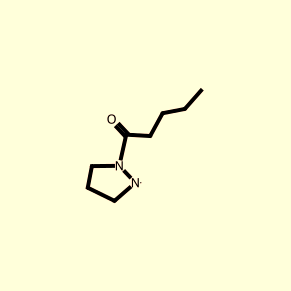 CCCCC(=O)N1CCC[N]1